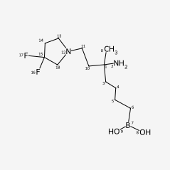 CC(N)(CCCCB(O)O)CCN1CCC(F)(F)C1